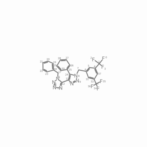 FC(F)(F)c1cc(Cn2nnc(-c3nnnn3Cc3ccccc3)c2-c2ccccc2)cc(C(F)(F)F)c1